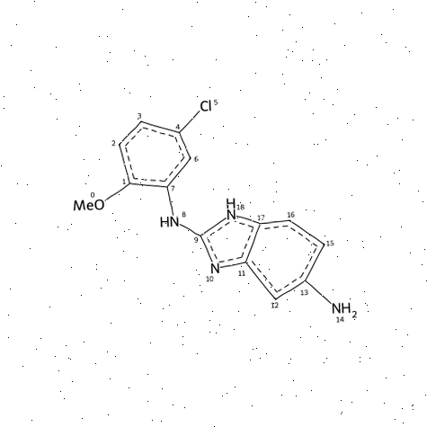 COc1ccc(Cl)cc1Nc1nc2cc(N)ccc2[nH]1